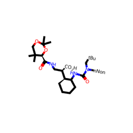 CCCCCCCCCN(CC(C)(C)C)C(=O)NC1CCCC[C@H]1[C@@H](CNC(=O)[C@@H]1OC(C)(C)OCC1(C)C)C(=O)O